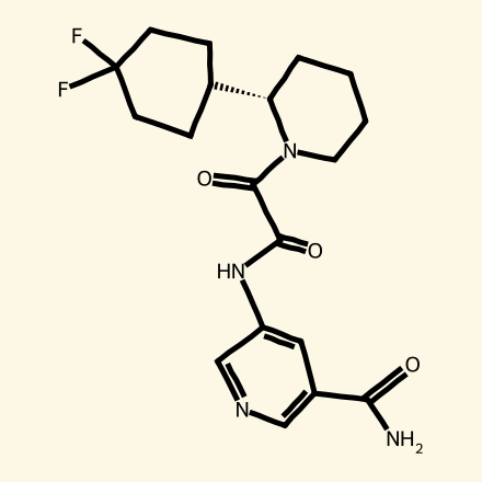 NC(=O)c1cncc(NC(=O)C(=O)N2CCCC[C@H]2C2CCC(F)(F)CC2)c1